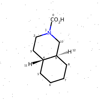 O=C(O)N1CC[C@H]2CCCC[C@@H]2C1